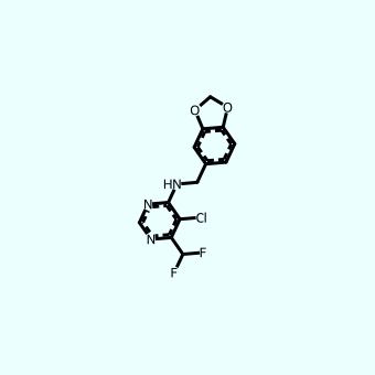 FC(F)c1ncnc(NCc2ccc3c(c2)OCO3)c1Cl